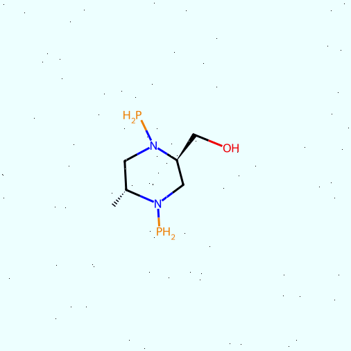 C[C@@H]1CN(P)[C@@H](CO)CN1P